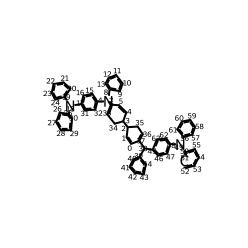 C1=CC(C2C=CC(N(c3ccccc3)c3ccc(N(c4ccccc4)c4ccccc4)cc3)=CC2)CC=C1C(c1ccccc1)c1ccc(N(c2ccccc2)c2ccccc2)cc1